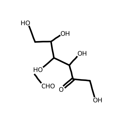 CC=O.O=C(CO)C(O)C(O)C(O)CO